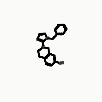 Oc1ccc2c(c1)CN(c1nccn1Cc1ccccc1)CC2